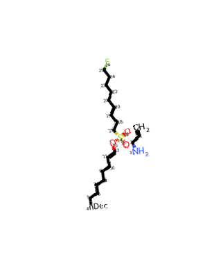 C=CCN.CCCCCCCCCCCCCCCCC=COS(=O)(=O)CCCCCCCCCF